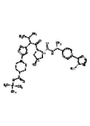 Cc1ncsc1-c1ccc(C(C)NC(=O)[C@@H]2C[C@@H](O)CN2C(=O)C(c2cc(N3CCC(C(=O)OC(C)(C)C)CC3)no2)C(C)C)cc1